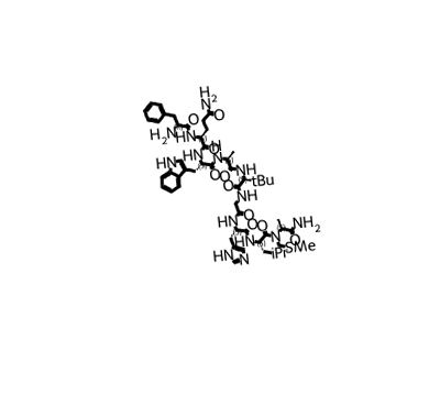 CSCN(C(=O)[C@H](CC(C)C)NC(=O)[C@H](Cc1cnc[nH]1)NC(=O)CNC(=O)[C@@H](NC(=O)[C@H](C)NC(=O)[C@H](Cc1c[nH]c2ccccc12)NC(=O)[C@H](CCC(N)=O)NC(=O)[C@H](N)Cc1ccccc1)C(C)(C)C)[C@@H](C)C(N)=O